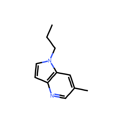 CCCn1ccc2ncc(C)cc21